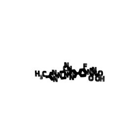 CCc1cnc(N2CCN(c3ncc(-c4ccc(-n5cnn(C(=O)O)c5=O)c(F)c4)cc3C#N)C(C)C2)nc1